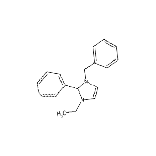 CCN1C=CN(Cc2ccccc2)C1c1ccccc1